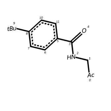 CC(=O)CNC(=O)c1ccc(C(C)(C)C)cc1